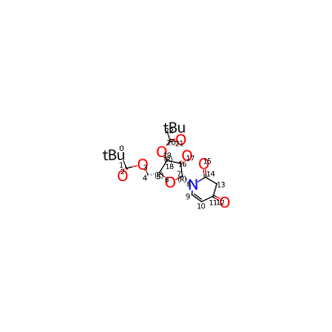 CC(C)(C)C(=O)OC[C@H]1O[C@@H](N2C=CC(=O)CC2=O)C(=O)[C@@H]1OC(=O)C(C)(C)C